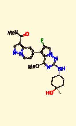 CNC(=O)c1cnn2ccc(-c3c(F)cn4nc(N[C@H]5CC[C@](C)(O)CC5)nc(OC)c34)cc12